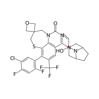 C=CC(O)N1C2CCC1CN(c1nc(=O)n3c4c(c(-c5cc(Cl)c(F)cc5F)c(C(F)(F)F)cc14)SCC1(COC1)C3)C2